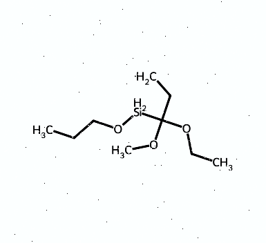 [CH2]CC(OC)(OCC)[SiH2]OCCC